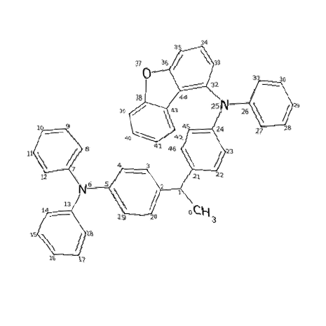 CC(c1ccc(N(c2ccccc2)c2ccccc2)cc1)c1ccc(N(c2ccccc2)c2cccc3oc4ccccc4c23)cc1